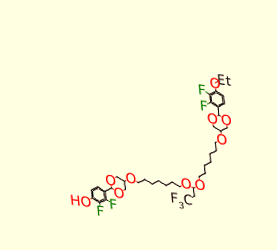 CCOc1ccc(C2OCC(OCCCCCCCOC(CC(F)(F)F)OCCCCCCCOC3COC(c4ccc(O)c(F)c4F)OC3)CO2)c(F)c1F